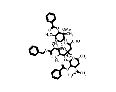 CO[C@](C)(C[C@@H](C)C=O)[C@H](O[C@@H]1O[C@H](C)C[C@H](N(C)C)[C@H]1OC(=O)c1ccccc1)[C@@H](C)[C@H](O[C@H]1C[C@@](C)(OC)[C@@H](OC(=O)c2ccccc2)[C@H](C)O1)[C@@H](C)C(=O)OCc1ccccc1